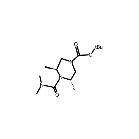 C[C@H]1CN(C(=O)OC(C)(C)C)C[C@H](C)N1C(=O)N(C)C